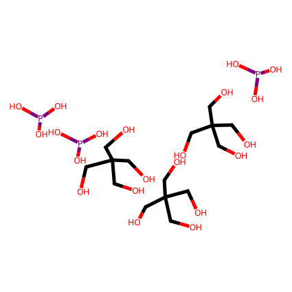 OCC(CO)(CO)CO.OCC(CO)(CO)CO.OCC(CO)(CO)CO.OP(O)O.OP(O)O.OP(O)O